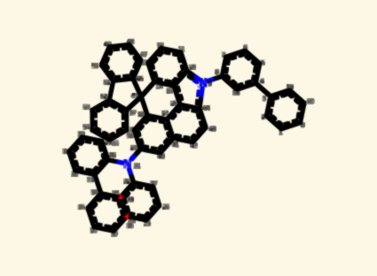 c1ccc(-c2cccc(-n3c4cccc5c4c4c6c(cc(N(c7ccccc7)c7ccccc7-c7ccccc7)cc6ccc43)C53c4ccccc4-c4ccccc43)c2)cc1